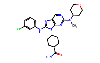 CN(c1ncc2nc(Nc3cccc(Cl)c3)n([C@H]3CC[C@H](C(N)=O)CC3)c2n1)C1CCOCC1